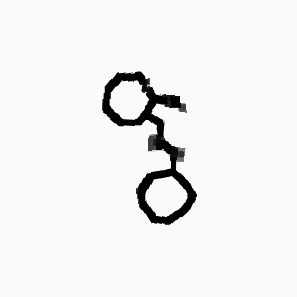 BC1CCCCCCCC1CBBC1CCCCCCCC1